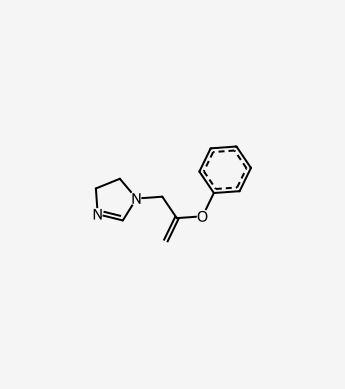 C=C(CN1C=NCC1)Oc1ccccc1